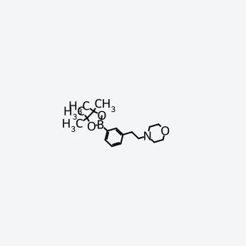 CC1(C)OB(c2cccc(CCN3CCOCC3)c2)OC1(C)C